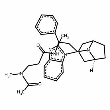 CC(=O)N(C)CCC(=O)NC(CCN1C2CC[C@H]1CC(n1c(C)nc3ccccc31)C2)c1ccccc1